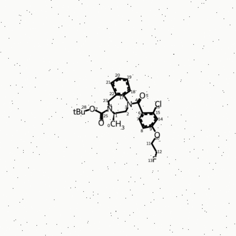 C[C@@H]1CN(C(=O)c2ccc(OCCF)cc2Cl)c2ccccc2CN1C(=O)OC(C)(C)C